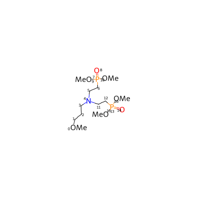 COCCCN(CCP(=O)(OC)OC)CCP(=O)(OC)OC